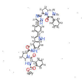 CC(C)OC(=O)N[C@@H](C(=O)N1CCC[C@H]1C(=O)Nc1ccc2[nH]c(-c3ccc(-c4cnc([C@@H]5CCCN5C(=O)[C@@H](c5ccccc5)N(C)C)[nH]4)cc3)cc2c1)c1ccccc1